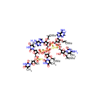 CC[C@H]1O[C@@H](n2cc(C)c(=O)[nH]c2=O)C[C@H]1OP(=O)(S)OC[C@H]1O[C@@H](n2cc(C)c(=O)[nH]c2=O)C[C@H]1OP(=O)(S)OC[C@H]1O[C@@H](n2cc(C)c(=O)[nH]c2=O)C(OCCOC)[C@H]1OP(=O)(O)OC[C@H]1O[C@@H](n2cnc3c(N)ncnc32)C(OCCOC)[C@H]1OP(=O)(S)OC[C@H]1O[C@@H](n2cnc3c(N)ncnc32)C(OCCOC)[C@H]1OP(=O)(S)OC[C@H]1O[C@@H](n2cc(C)c(N)nc2=O)C(OCCOC)[C@H]1O